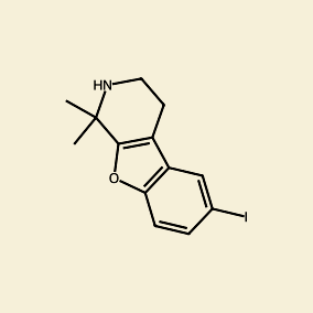 CC1(C)NCCc2c1oc1ccc(I)cc21